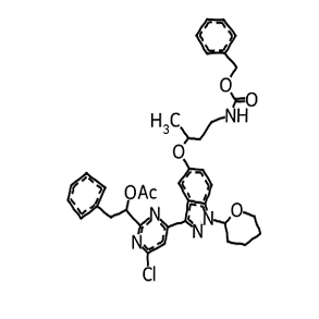 CC(=O)OC(Cc1ccccc1)c1nc(Cl)cc(-c2nn(C3CCCCO3)c3ccc(OC(C)CCNC(=O)OCc4ccccc4)cc23)n1